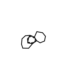 c1cc2c3c(c1CCCCC2)CCCCC3